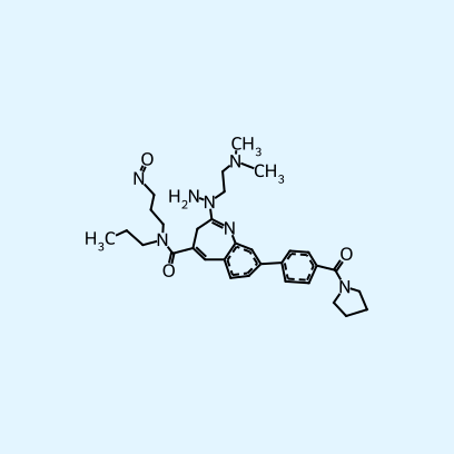 CCCN(CCCN=O)C(=O)C1=Cc2ccc(-c3ccc(C(=O)N4CCCC4)cc3)cc2N=C(N(N)CCN(C)C)C1